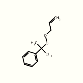 C=CCOOC(C)(C)c1ccccc1